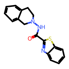 O=C(NN1CCc2ccccc2C1)c1nc2ccccc2s1